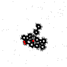 CCc1ccc2cccc3c2c1C1(c2ccccc2-c2ccc(N(c4ccc(-c5ccccc5)cc4)c4ccc5c(c4)-c4ccccc4C5(c4ccccc4)c4ccccc4)cc21)c1ccccc1-3